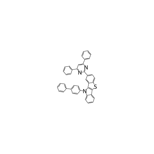 c1ccc(-c2ccc(-n3c4ccccc4c4sc5ccc(-c6nc(-c7ccccc7)cc(-c7ccccc7)n6)cc5c43)cc2)cc1